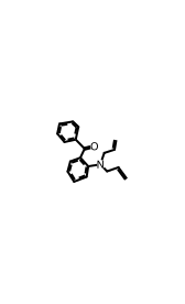 C=CCN(CC=C)c1ccccc1C(=O)c1ccccc1